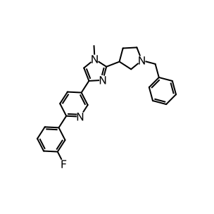 Cn1cc(-c2ccc(-c3cccc(F)c3)nc2)nc1C1CCN(Cc2ccccc2)C1